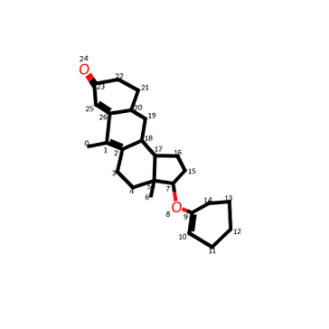 CC1=C2CCC3(C)C(OC4=CCCCC4)CCC3C2CC2CCC(=O)C=C12